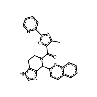 Cc1nc(-c2ccccn2)oc1C(=O)N1CCc2[nH]cnc2[C@@H]1c1ccc2ccccc2n1